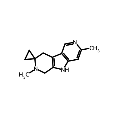 Cc1cc2[nH]c3c(c2cn1)CC1(CC1)N(C)C3